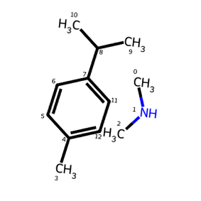 CNC.Cc1ccc(C(C)C)cc1